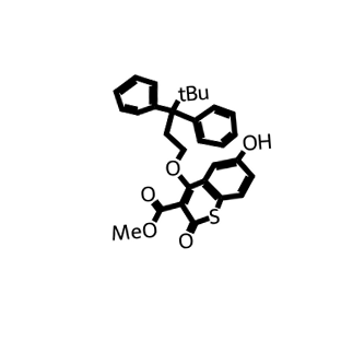 COC(=O)c1c(OCCC(c2ccccc2)(c2ccccc2)C(C)(C)C)c2cc(O)ccc2sc1=O